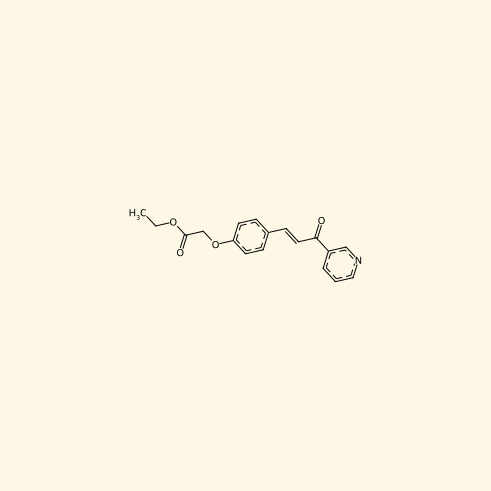 CCOC(=O)COc1ccc(C=CC(=O)c2cccnc2)cc1